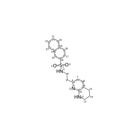 O=S(=O)(NCCc1ccc2c(n1)NCCC2)c1ccc2ccccc2c1